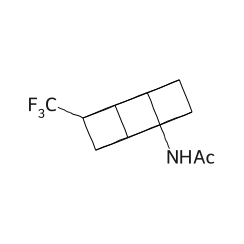 CC(=O)NC12C3C4C1C1C2C3C41C(F)(F)F